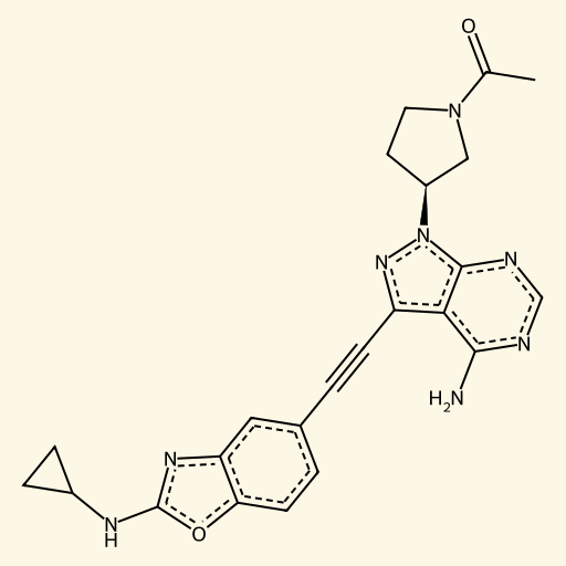 CC(=O)N1CC[C@H](n2nc(C#Cc3ccc4oc(NC5CC5)nc4c3)c3c(N)ncnc32)C1